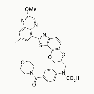 COc1cnc2c(-c3nc4ccc5c(c4s3)OC[C@@H](CN(C(=O)O)c3ccc(C(=O)N4CCOCC4)cc3)O5)cc(C)cc2n1